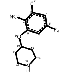 N#Cc1c(F)cc(F)cc1OC1CCNCC1